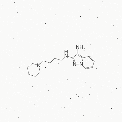 Nc1c(NCCCCN2CCCCC2)nn2ccccc12